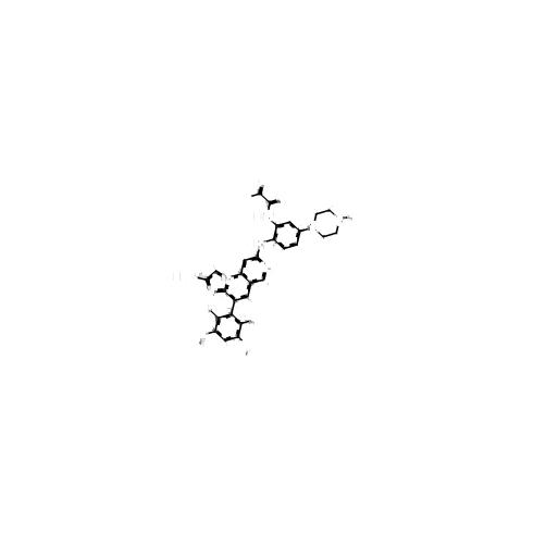 C=C(F)C(=O)Nc1cc(N2CCN(C)CC2)ccc1Nc1cc2c(cn1)cc(-c1c(Cl)c(OC)cc(OC)c1Cl)c1nc(C)cn12